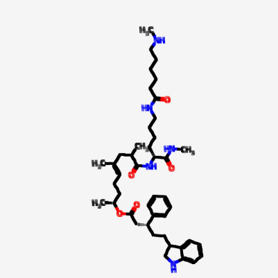 CNCCCCCC(=O)NCCCC[C@H](NC(=O)C(C)C/C(C)=C/CC[C@H](C)OC(=O)C[C@@H](CCC1CNc2ccccc21)c1ccccc1)C(=O)NC